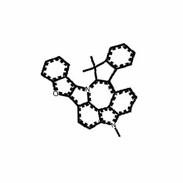 Cn1c2cccc3c4c(n5c6c7ccccc7oc6c6ccc1c(c32)c65)C(C)(C)c1ccccc1-4